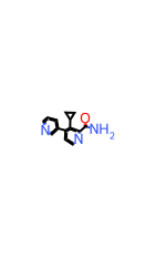 NC(=O)c1nccc(-c2cccnc2)c1C1CC1